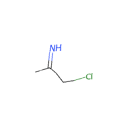 CC(=N)CCl